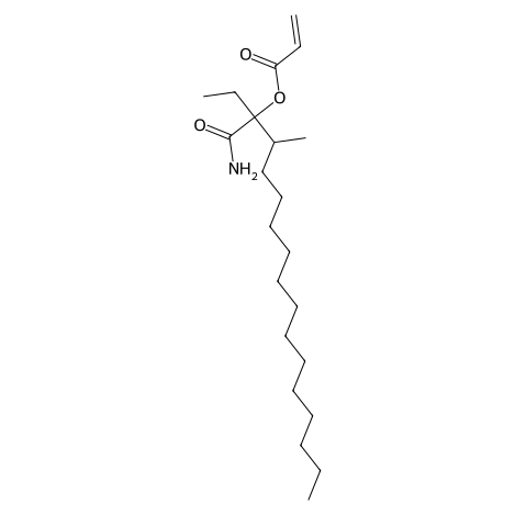 C=CC(=O)OC(CC)(C(N)=O)C(C)CCCCCCCCCCCCC